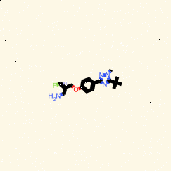 Cn1nc(-c2ccc(OC/C(=C/F)CN)cc2)nc1C(C)(C)C